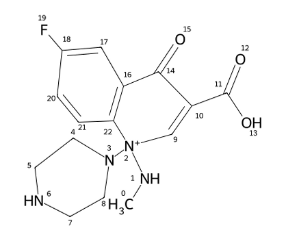 CN[N+]1(N2CCNCC2)C=C(C(=O)O)C(=O)c2cc(F)ccc21